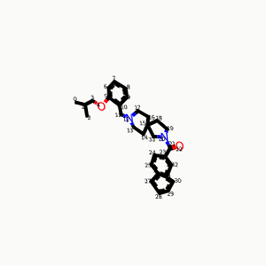 CC(C)COc1ccccc1CN1CCC2(CC1)CCN(C(=O)c1ccc3ccccc3c1)C2